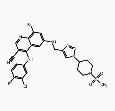 CS(=O)(=O)N1CCC(n2cc(CNc3cc(Br)c4ncc(C#N)c(Nc5ccc(F)c(Cl)c5)c4c3)nn2)CC1